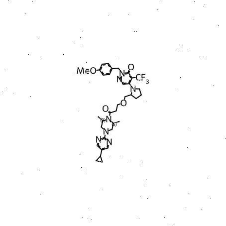 COc1ccc(Cn2ncc(N3CCCC3COCCC(=O)N3[C@H](C)CN(c4ncc(C5CC5)cn4)C[C@@H]3C)c(C(F)(F)F)c2=O)cc1